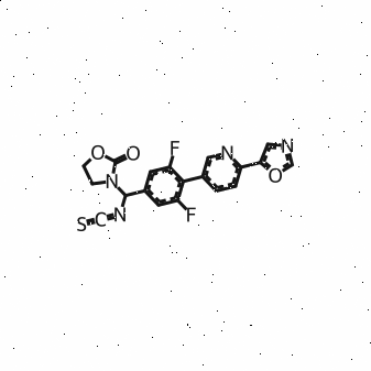 O=C1OCCN1C(N=C=S)c1cc(F)c(-c2ccc(-c3cnco3)nc2)c(F)c1